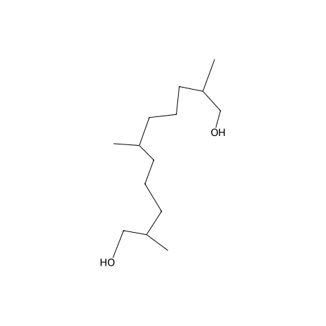 CC(CO)CCCC(C)CCCC(C)CO